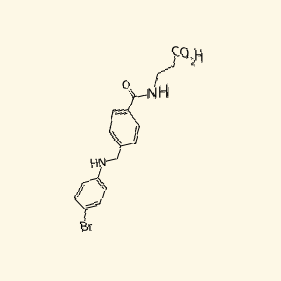 O=C(O)CCNC(=O)c1ccc(CNc2ccc(Br)cc2)cc1